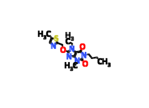 CCCCn1c(=O)c2c(nc(OCc3ncc(C)s3)n2CC)n(C)c1=O